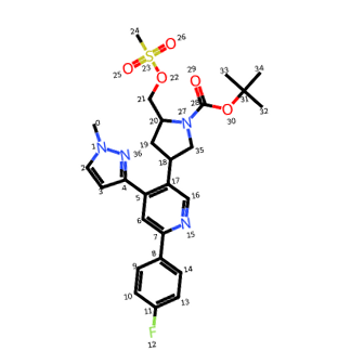 Cn1ccc(-c2cc(-c3ccc(F)cc3)ncc2C2CC(COS(C)(=O)=O)N(C(=O)OC(C)(C)C)C2)n1